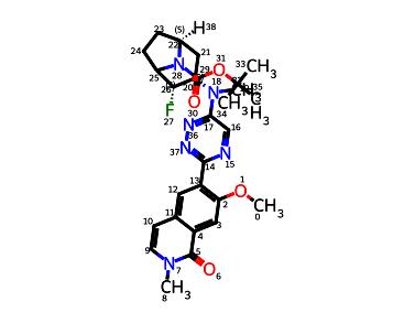 COc1cc2c(=O)n(C)ccc2cc1-c1ncc(N(C)[C@H]2C[C@@H]3CCC([C@H]2F)N3C(=O)OC(C)(C)C)nn1